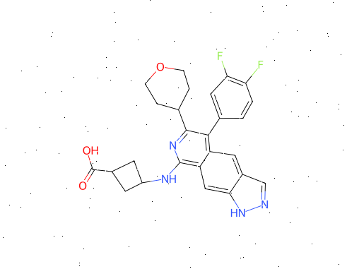 O=C(O)C1CC(Nc2nc(C3CCOCC3)c(-c3ccc(F)c(F)c3)c3cc4cn[nH]c4cc23)C1